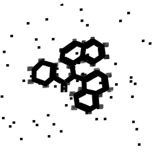 C1=C(NC(c2cccc3ccccc23)c2cccc3ccccc23)CCCC1